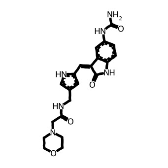 NC(=O)Nc1ccc2c(c1)C(=Cc1cc(CNC(=O)CN3CCOCC3)c[nH]1)C(=O)N2